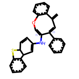 C=C1/C=C(c2ccccc2)\C(NC2=CC3c4ccccc4SC3C=C2)=C/Oc2ccccc21